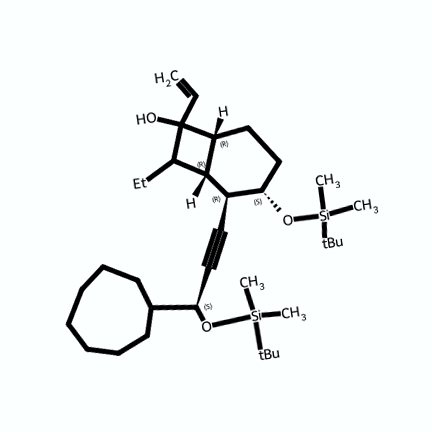 C=CC1(O)C(CC)[C@H]2[C@H](C#C[C@@H](O[Si](C)(C)C(C)(C)C)C3CCCCCCC3)[C@@H](O[Si](C)(C)C(C)(C)C)CC[C@H]21